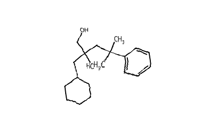 CC(C)(CC(O)(CO)CC1CCCCC1)c1ccccc1